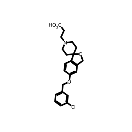 O=C(O)CCN1CCC2(CC1)OCc1cc(OCc3cccc(Cl)c3)ccc12